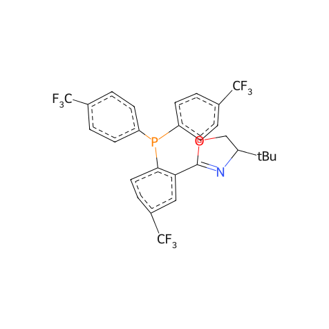 CC(C)(C)C1COC(c2cc(C(F)(F)F)ccc2P(c2ccc(C(F)(F)F)cc2)c2ccc(C(F)(F)F)cc2)=N1